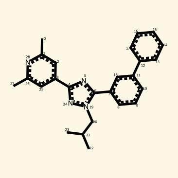 Cc1cc(-c2nc(-c3cccc(-c4ccccc4)c3)n(CC(C)C)n2)cc(C)n1